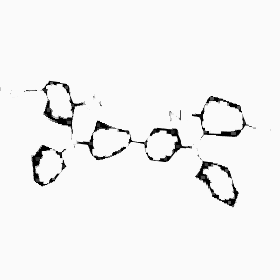 Cc1ccc(C#N)c(N(c2ccccc2)c2ccc(-c3ccc(N(c4ccccc4)c4cc(C)ccc4C#N)cc3)cc2)c1